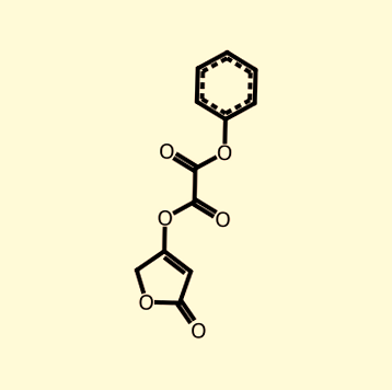 O=C1C=C(OC(=O)C(=O)Oc2ccccc2)CO1